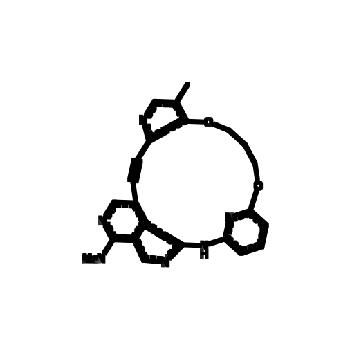 CNc1ncc2c3cc(ncc13)Nc1cccc(n1)OCCCOc1cc(ncc1C)C#C2